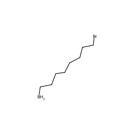 BCCCCCCCCBr